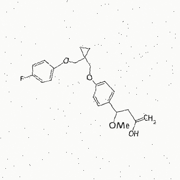 C=C(O)CC(OC)c1ccc(OCC2(COc3ccc(F)cc3)CC2)cc1